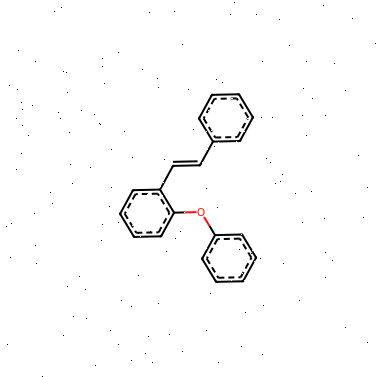 C(=Cc1ccccc1Oc1ccccc1)c1ccccc1